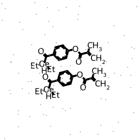 C=C(C)C(=O)Oc1ccc([C](=O)[GeH]([CH2]C)[CH2]C)cc1.C=C(C)C(=O)Oc1ccc([C](=O)[GeH]([CH2]C)[CH2]C)cc1